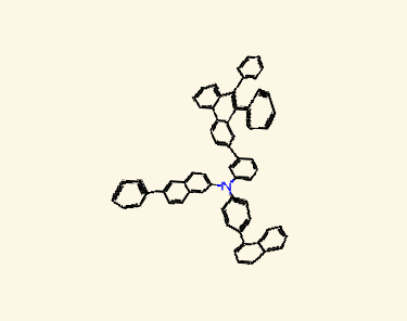 c1ccc(-c2ccc3cc(N(c4ccc(-c5cccc6ccccc56)cc4)c4cccc(-c5ccc6c(c5)c(-c5ccccc5)c(-c5ccccc5)c5ccccc56)c4)ccc3c2)cc1